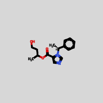 CC(CCO)OC(=O)c1cncn1[C@H](C)c1ccccc1